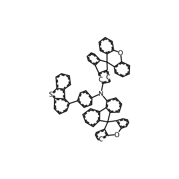 c1ccc2c(c1)Oc1ccccc1C21c2ccccc2-c2cc(N(c3ccc(-c4cccc5sc6ccccc6c45)cc3)c3cccc4c3-c3ccccc3C43c4ccccc4Oc4ccccc43)ccc21